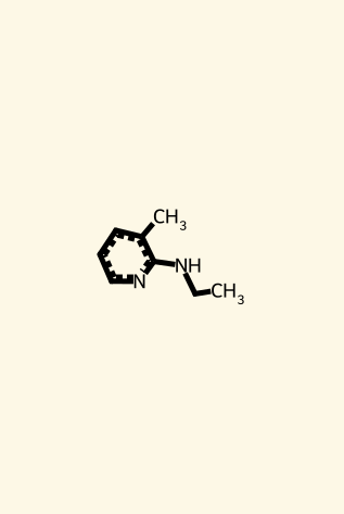 CCNc1ncccc1C